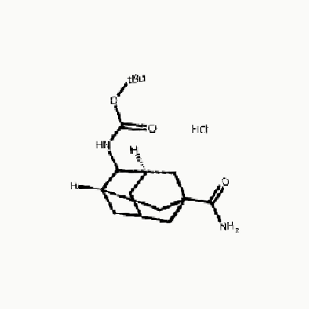 CC(C)(C)OC(=O)NC1[C@@H]2CC3C[C@H]1CC(C(N)=O)(C3)C2.Cl